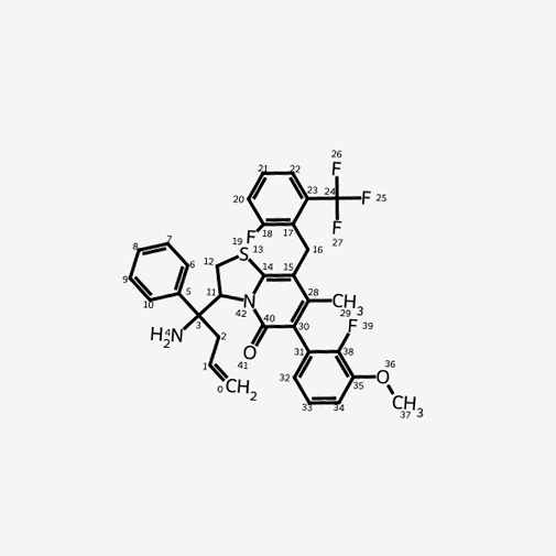 C=CCC(N)(c1ccccc1)C1CSc2c(Cc3c(F)cccc3C(F)(F)F)c(C)c(-c3cccc(OC)c3F)c(=O)n21